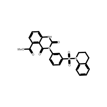 COC(=O)c1cccc2[nH]c(=O)n(-c3cccc(S(=O)(=O)N4CCCc5ccccc54)c3)c(=O)c12